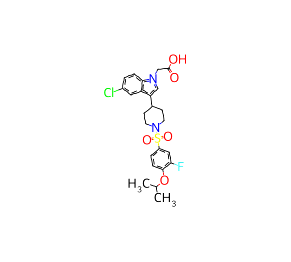 CC(C)Oc1ccc(S(=O)(=O)N2CCC(c3cn(CC(=O)O)c4ccc(Cl)cc34)CC2)cc1F